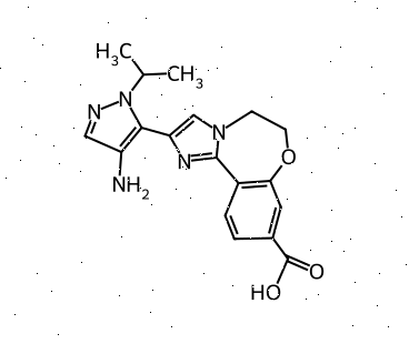 CC(C)n1ncc(N)c1-c1cn2c(n1)-c1ccc(C(=O)O)cc1OCC2